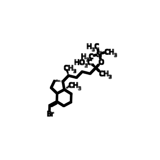 C[C@H](CCC[C@@](C)(O[Si](C)(C)C)C(=O)O)[C@H]1CCC2/C(=C/Br)CCC[C@@]21C